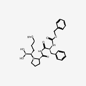 COCCC[C@H](B(O)O)N1CCC[C@@H]1C(=O)NC(=O)[C@H](Cc1ccccc1)NC(=O)OCc1ccccc1